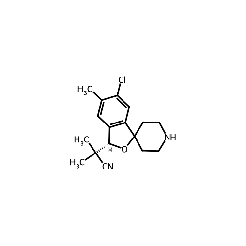 Cc1cc2c(cc1Cl)C1(CCNCC1)O[C@@H]2C(C)(C)C#N